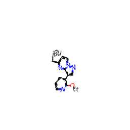 [CH2]CC(C)Cc1ccn2ncc(-c3cccnc3OCC)c2n1